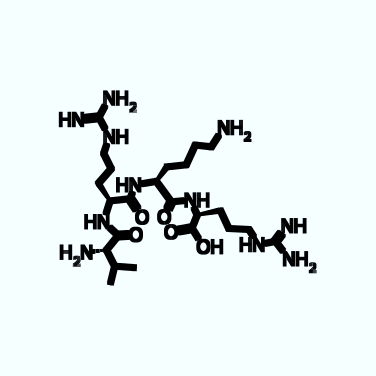 CC(C)[C@H](N)C(=O)N[C@@H](CCCNC(=N)N)C(=O)N[C@@H](CCCCN)C(=O)N[C@@H](CCCNC(=N)N)C(=O)O